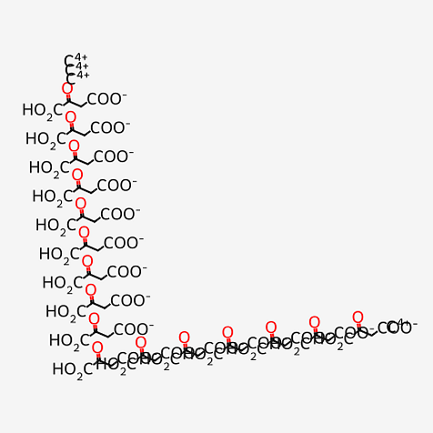 O=C([O-])CC(=O)C(=O)O.O=C([O-])CC(=O)C(=O)O.O=C([O-])CC(=O)C(=O)O.O=C([O-])CC(=O)C(=O)O.O=C([O-])CC(=O)C(=O)O.O=C([O-])CC(=O)C(=O)O.O=C([O-])CC(=O)C(=O)O.O=C([O-])CC(=O)C(=O)O.O=C([O-])CC(=O)C(=O)O.O=C([O-])CC(=O)C(=O)O.O=C([O-])CC(=O)C(=O)O.O=C([O-])CC(=O)C(=O)O.O=C([O-])CC(=O)C(=O)O.O=C([O-])CC(=O)C(=O)O.O=C([O-])CC(=O)C(=O)O.O=C([O-])CC(=O)C(=O)O.[C+4].[C+4].[C+4].[C+4]